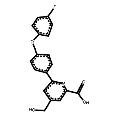 O=C(O)c1cc(CO)cc(-c2ccc(Oc3ccc(F)cc3)cc2)n1